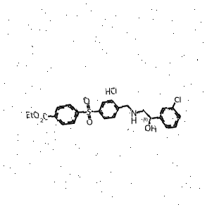 CCOC(=O)c1ccc(S(=O)(=O)c2ccc(CNC[C@H](O)c3cccc(Cl)c3)cc2)cc1.Cl